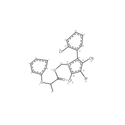 CC(Oc1ccccc1)C(=O)OCn1c(-c2ccccc2Cl)c(C#N)c(Br)c1C(F)(F)F